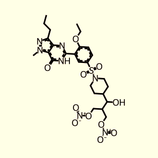 CCCc1nn(C)c2c(=O)[nH]c(-c3cc(S(=O)(=O)N4CCC(C(O)C(CO[N+](=O)[O-])CO[N+](=O)[O-])CC4)ccc3OCC)nc12